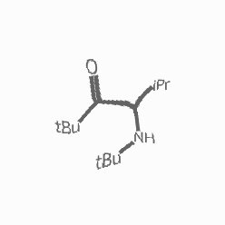 CC(C)C(NC(C)(C)C)C(=O)C(C)(C)C